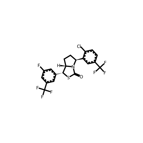 O=C1S[C@H](c2cc(F)cc(C(F)(F)F)c2)[C@@H]2CC[C@@H](c3cc(C(F)(F)F)ccc3Cl)N12